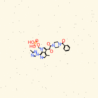 Cc1ncn(-c2ncc(C)c3c(C(=O)C(=O)N4CCN(C(=O)c5ccccc5)CC4)cn(COP(=O)(O)O)c23)n1